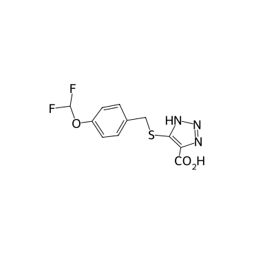 O=C(O)c1nn[nH]c1SCc1ccc(OC(F)F)cc1